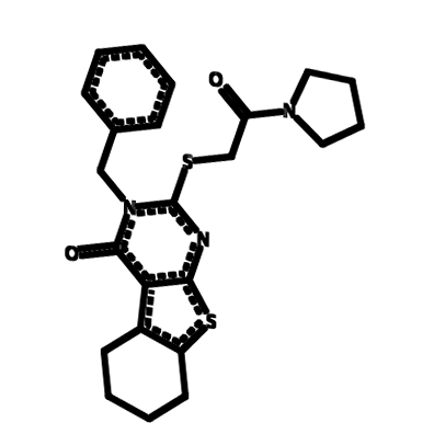 O=C(CSc1nc2sc3c(c2c(=O)n1Cc1ccccc1)CCCC3)N1CCCC1